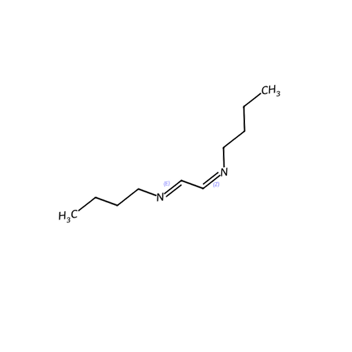 CCCC/N=C\C=N\CCCC